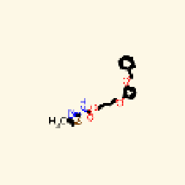 Cc1csc(NC(=O)OCCCCOc2cccc(OCc3ccccc3)c2)n1